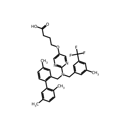 Cc1cc(CN(Cc2cc(C)ccc2-c2cc(C)ccc2C)c2ncc(OCCCC(=O)O)cn2)cc(C(F)(F)F)c1